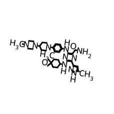 Cc1cc(-c2nc(C(N)=O)c(Nc3ccc(N4CCC(N5CCN(C)CC5)CC4)c(C)c3)nc2NC2CCC3(CC2)COC3)n[nH]1